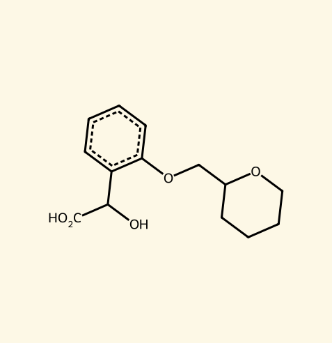 O=C(O)C(O)c1ccccc1OCC1CCCCO1